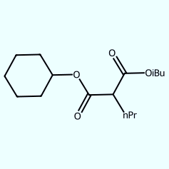 CCCC(C(=O)OCC(C)C)C(=O)OC1CCCCC1